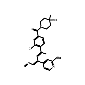 C=N/C=C(\C=C(/C)c1ccc(C(=O)N2CCC(C)(O)CC2)cc1Cl)c1ccnc(C(C)(C)C)c1